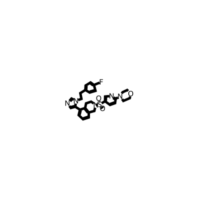 O=S(=O)(c1ccc(N2CCOCC2)nc1)N1CCc2c(cccc2-c2cncn2CCc2ccc(F)cc2)C1